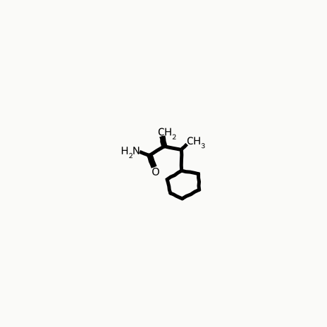 C=C(C(N)=O)C(C)C1CCCCC1